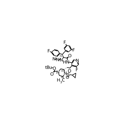 C[C@@H]1CN(C(=O)OC(C)(C)C)C[C@H](CCc2c(F)cncc2NC(=O)C(N=[N+]=[N-])[C@@H](c2ccc(F)cc2)c2cc(F)cc(F)c2)N1S(=O)(=O)C1CC1